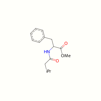 COC(=O)C(Cc1ccccc1)NC(=O)CC(C)C